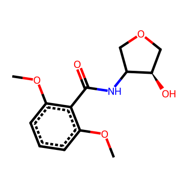 COc1cccc(OC)c1C(=O)NC1COC[C@H]1O